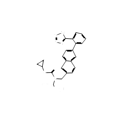 CC(C)[C@@H](C(=O)O)N(Cc1ccc2cc(-c3ccccc3-c3nnn[nH]3)ccc2c1)C(=O)OC1CC1